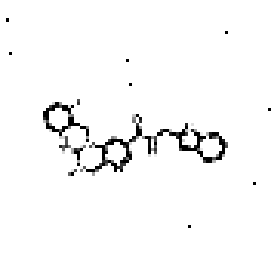 CN1Cc2ncc(C(=O)NCc3cc4ccccc4o3)cc2N(Cc2c(F)cccc2Cl)C1=O